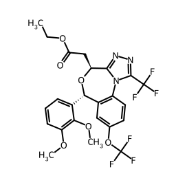 CCOC(=O)C[C@@H]1O[C@@H](c2cccc(OC)c2OC)c2cc(OC(F)(F)F)ccc2-n2c1nnc2C(F)(F)F